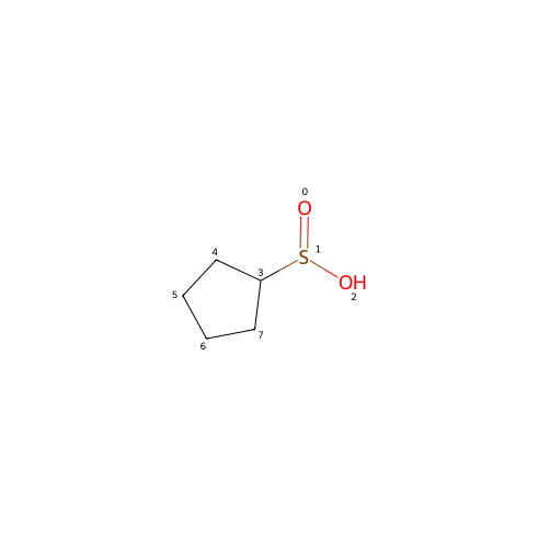 O=S(O)C1CCCC1